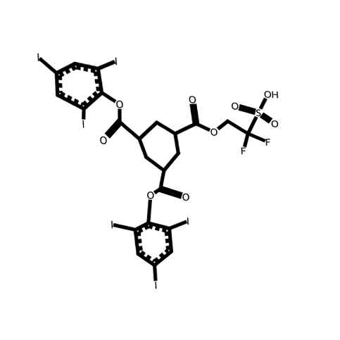 O=C(OCC(F)(F)S(=O)(=O)O)C1CC(C(=O)Oc2c(I)cc(I)cc2I)CC(C(=O)Oc2c(I)cc(I)cc2I)C1